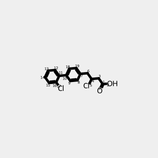 O=C(O)CC(Cl)Cc1ccc(-c2ccccc2Cl)cc1